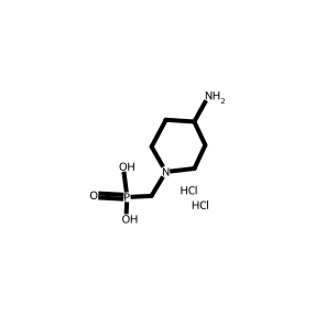 Cl.Cl.NC1CCN(CP(=O)(O)O)CC1